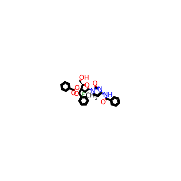 C[C@]1(F)[C@H](n2ccc(NC(=O)c3ccccc3)nc2=O)O[C@H](CO)[C@]1(OC(=O)c1ccccc1)C(=O)c1ccccc1